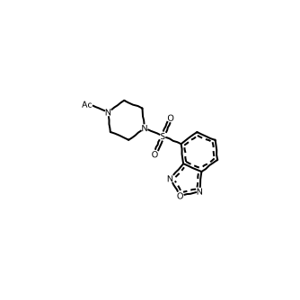 CC(=O)N1CCN(S(=O)(=O)c2cccc3nonc23)CC1